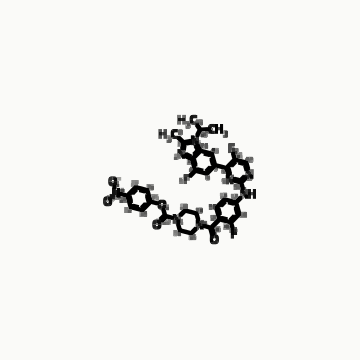 Cc1nc2c(F)cc(-c3nc(Nc4ccc(C(=O)N5CCN(C(=O)Oc6ccc([N+](=O)[O-])cc6)CC5)c(F)c4)ncc3F)cc2n1C(C)C